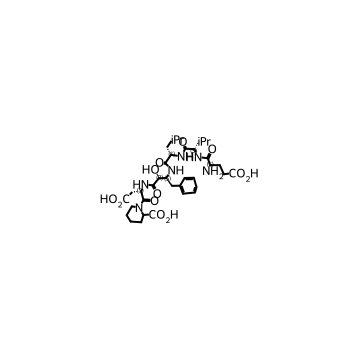 CC(C)C[C@H](NC(=O)[C@@H](NC(=O)[C@@H](N)CCC(=O)O)C(C)C)C(=O)N[C@@H](Cc1ccccc1)[C@@H](O)C(=O)N[C@@H](CC(=O)O)C(=O)N1CCCCC1C(=O)O